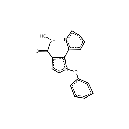 O=C(NO)c1ccn(Oc2ccccc2)c1-c1ccccn1